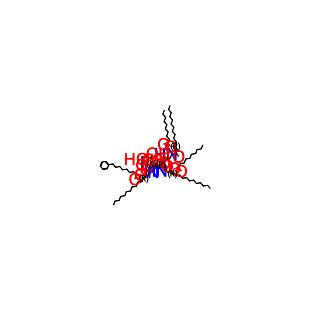 CCCCCCCCCCC[C@H](CC(=O)/N=C1/C(NC(=O)C[C@@H](CCCCCCCCCCC)OC(=O)CCCCCCCCC)[C@H](OCCNC(=O)C[C@@H](CCCCCCCCCCC)OC(=O)CCCCCCCCC)OC(CO)[C@H]1OP(=O)(O)O)OC(=O)CCCCCCCc1ccccc1